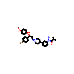 COc1ccc(OC(CCN2CCC(c3cccc(NC(=O)C(C)C)c3)CC2)c2ccc(Br)cc2)cc1